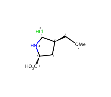 COC[C@@H]1CN[C@H](C(=O)O)C1.Cl